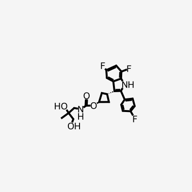 CC(O)(CO)CNC(=O)O[C@H]1C[C@H](c2c(-c3ccc(F)cc3)[nH]c3c(F)cc(F)cc32)C1